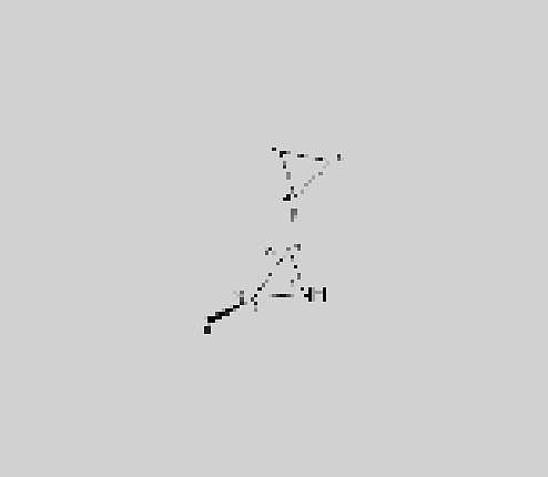 C[C@@H]1N[C@H]1C1CC1